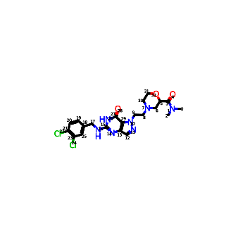 CN(C)C(=O)C1CN(CCn2ncc3nc(NCc4ccc(Cl)c(Cl)c4)[nH]c(=O)c32)CCO1